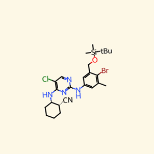 Cc1cc(Nc2ncc(Cl)c(N[C@@H]3CCCC[C@H]3C#N)n2)cc(CO[Si](C)(C)C(C)(C)C)c1Br